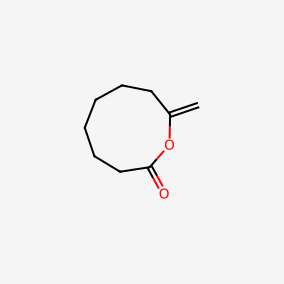 C=C1CCCCCCC(=O)O1